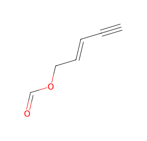 C#CC=CCOC=O